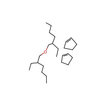 C1=CCCC1.C1=CCCC1.CCCCC(CC)COCC(CC)CCCC